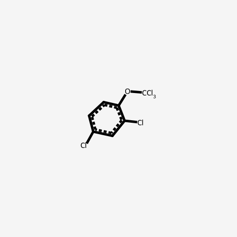 Clc1ccc(OC(Cl)(Cl)Cl)c(Cl)c1